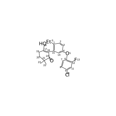 CCc1ccc(Oc2ccc(Cl)cc2F)cc1C1=C(O)CCC(C)(C)C1=O